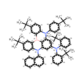 CC(C)(C)c1ccc(N2c3ccc(C(C)(C)C)cc3B3c4cc(C(C)(C)C)ccc4N(c4cccc5ccccc45)c4cc(N(c5ccccc5C(C)(C)C)c5ccccc5C(C)(C)C)cc2c43)cc1